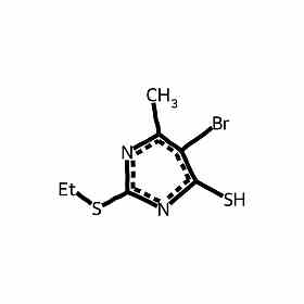 CCSc1nc(C)c(Br)c(S)n1